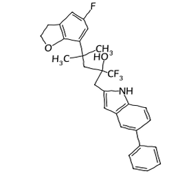 CC(C)(CC(O)(Cc1cc2cc(-c3ccccc3)ccc2[nH]1)C(F)(F)F)c1cc(F)cc2c1OCC2